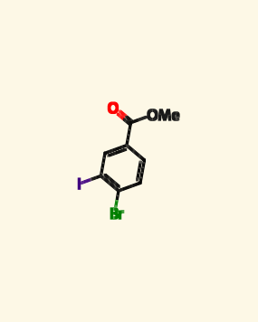 COC(=O)c1ccc(Br)c(I)c1